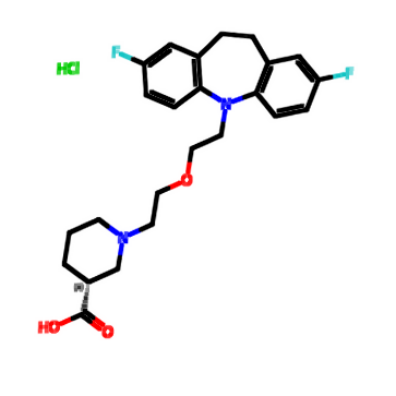 Cl.O=C(O)[C@@H]1CCCN(CCOCCN2c3ccc(F)cc3CCc3cc(F)ccc32)C1